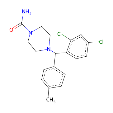 Cc1ccc(C(c2ccc(Cl)cc2Cl)N2CCN(C(N)=O)CC2)cc1